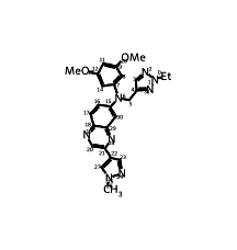 CCn1ncc(CN(c2cc(OC)cc(OC)c2)c2ccc3ncc(-c4cnn(C)c4)nc3c2)n1